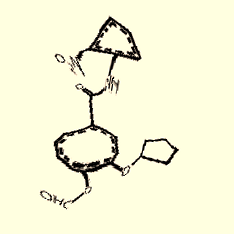 O=COc1ccc(C(=O)Nc2ccccc2[N+](=O)[O-])cc1OC1CCCC1